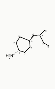 CCC(C)C[C@H]1CC[C@H](N)CC1